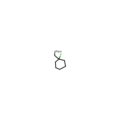 CCCCCCC1(F)CCCCC1